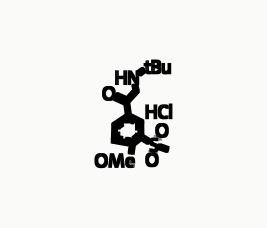 COc1ccc(C(=O)CNC(C)(C)C)cc1S(C)(=O)=O.Cl